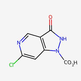 O=C(O)n1[nH]c(=O)c2cnc(Cl)cc21